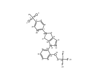 CS(=O)(=O)c1ccc(N2Cc3cnn(-c4ccccc4OCC(F)(F)F)c3C2)nc1